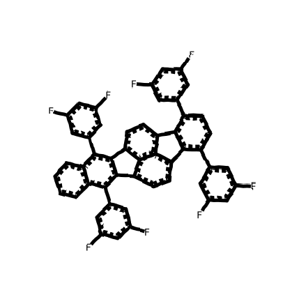 Fc1cc(F)cc(-c2ccc(-c3cc(F)cc(F)c3)c3c2-c2ccc4c5c(ccc-3c25)-c2c-4c(-c3cc(F)cc(F)c3)c3ccccc3c2-c2cc(F)cc(F)c2)c1